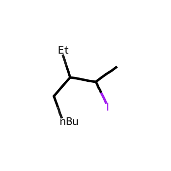 CCCCCC(CC)C(C)I